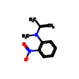 C=C(C)N(C)c1ccccc1[N+](=O)[O-]